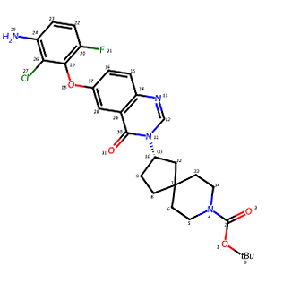 CC(C)(C)OC(=O)N1CCC2(CC[C@H](n3cnc4ccc(Oc5c(F)ccc(N)c5Cl)cc4c3=O)C2)CC1